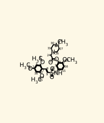 COc1cc(OC)c(/C=C/S(=O)(=O)Nc2ccc(OC)c(OC(=O)CN3CCN(C)CC3)c2)c(OC)c1